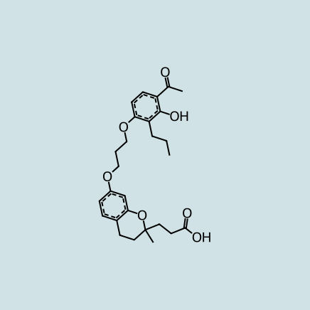 CCCc1c(OCCCOc2ccc3c(c2)OC(C)(CCC(=O)O)CC3)ccc(C(C)=O)c1O